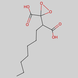 CCCCCCCC(C(=O)O)C1(C(=O)O)OO1